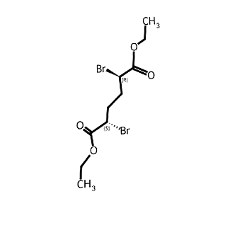 CCOC(=O)[C@H](Br)CC[C@H](Br)C(=O)OCC